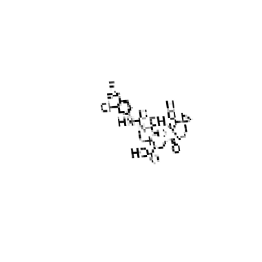 CC1C(=O)N(C(CCC(=O)N2CCC3(CC3)C(O)C2)C(=O)O)CCN1C(=O)Nc1ccc(C(F)(F)F)c(Cl)c1